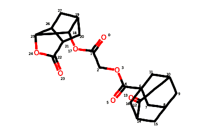 O=C(COC(=O)C12CC3CC(C1)C(=O)C(C3)C2)OC1C2CC3C(=O)OC1C3C2